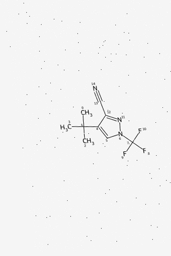 CC(C)(C)c1cn(C(F)(F)F)nc1C#N